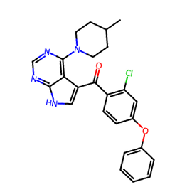 CC1CCN(c2ncnc3[nH]cc(C(=O)c4ccc(Oc5ccccc5)cc4Cl)c23)CC1